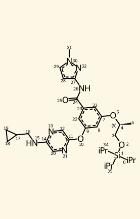 CC(C)[Si](OC[C@H](C)Oc1cc(Oc2cnc(NCC3CC3)cn2)cc(C(=O)Nc2ccn(C)n2)c1)(C(C)C)C(C)C